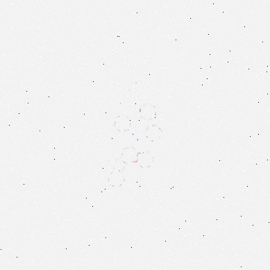 c1ccc(-c2ccccc2N(c2ccc3c(c2)oc2ccccc23)c2cccc3c2-c2ccccc2C32C3CC4CC(C3)CC2C4)cc1